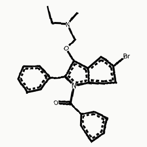 CCN(C)COc1c(-c2ccccc2)n(C(=O)c2ccccc2)c2ccc(Br)cc12